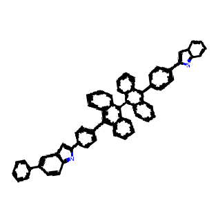 C1=CC2=NC(c3ccc(-c4c5ccccc5c(-c5c6ccccc6c(-c6ccc(C7=CC8C=C(c9ccccc9)C=CC8=N7)cc6)c6ccccc56)c5ccccc45)cc3)=CC2C=C1